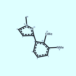 CNc1cccc(-c2ccn(C)n2)c1OC